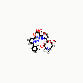 CC(C)C[C@H](NC(=O)[C@@H](NC(=O)c1cccc(-c2ccccc2)n1)[C@@H](C)O)B1OC(=O)CCN(C)[C@H](C)C(=O)O1